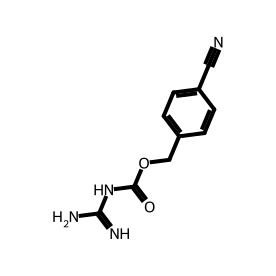 N#Cc1ccc(COC(=O)NC(=N)N)cc1